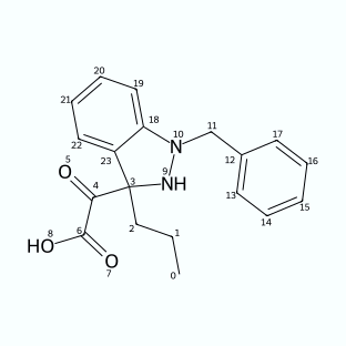 CCCC1(C(=O)C(=O)O)NN(Cc2ccccc2)c2ccccc21